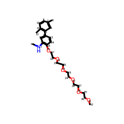 CNc1cc(-c2cc(C)ccc2C)ccc1OCCOCCOCCOCCOCCOC